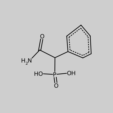 NC(=O)C(c1ccccc1)P(=O)(O)O